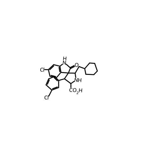 O=C(O)C1NC(CC2CCCCC2)C2(C(=O)Nc3cc(Cl)ccc32)C1c1cccc(Cl)c1